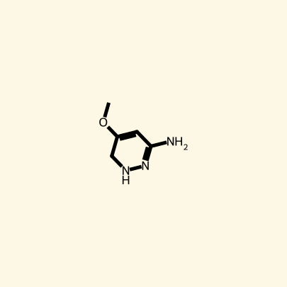 COC1=CC(N)=NNC1